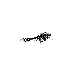 COC(C)(C(F)F)[C@H](NC(=O)c1ccc(C#CC#Cc2ccc(O)cc2)cc1)C(=O)NO